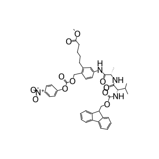 COC(=O)CCCCc1cc(NC(=O)[C@H](C)NC(=O)[C@@H](NC(=O)OCC2c3ccccc3-c3ccccc32)C(C)C)ccc1COC(=O)Oc1ccc([N+](=O)[O-])cc1